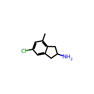 Cc1cc(Cl)cc2c1CC(N)C2